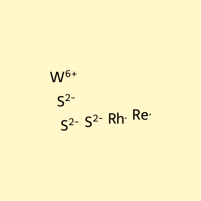 [Re].[Rh].[S-2].[S-2].[S-2].[W+6]